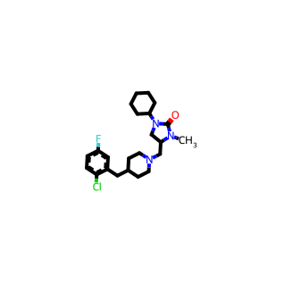 CN1C(=O)N(C2CCCCC2)CC1CN1CCC(Cc2cc(F)ccc2Cl)CC1